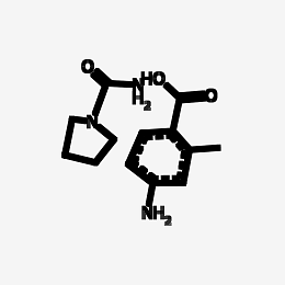 Cc1cc(N)ccc1C(=O)O.NC(=O)N1CCCC1